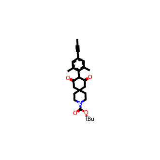 CC#Cc1cc(C)c(C2C(=O)CC3(CCN(C(=O)OC(C)(C)C)CC3)CC2=O)c(C)c1